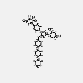 O=C1CN(c2ccc(-n3cc(-c4ccc(Cl)cc4Cl)nc3Cc3ccc(-c4ccc(N5CCOCC5)cc4)cc3)cc2)S(=O)(=O)N1